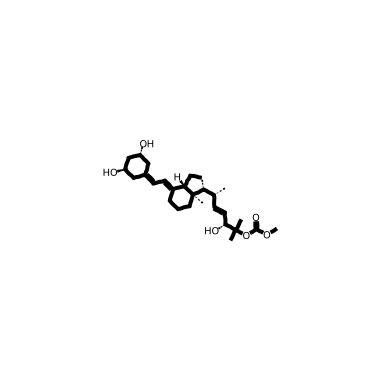 COC(=O)OC(C)(C)[C@H](O)/C=C/[C@@H](C)[C@H]1CC[C@H]2/C(=C/C=C3C[C@@H](O)C[C@H](O)C3)CCC[C@]12C